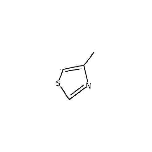 Cc1[c]scn1